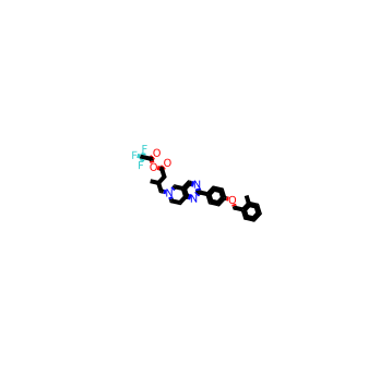 Cc1ccccc1COc1ccc(-c2ncc3c(n2)CCN(CC(C)CC(=O)OC(=O)C(F)(F)F)C3)cc1